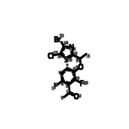 CC(=O)c1c(F)ccc(OC(C)c2nc(Br)c(Cl)s2)c1F